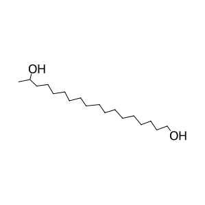 CC(O)CCCCCCCCCCCCCCCCO